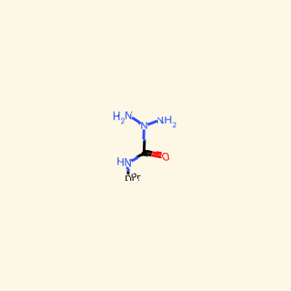 CCCNC(=O)N(N)N